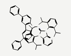 CC(C)c1cccc(C(C)C)c1-n1/c(=N\n2c3ccc(-c4ccccc4)cc3c3cc(-c4ccccc4)ccc32)n(-c2c(C(C)C)cccc2C(C)C)c2ncccc21